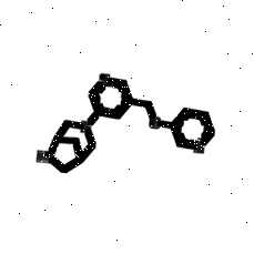 c1cncc(OCc2cncc(N3CC4CNC(C4)C3)c2)c1